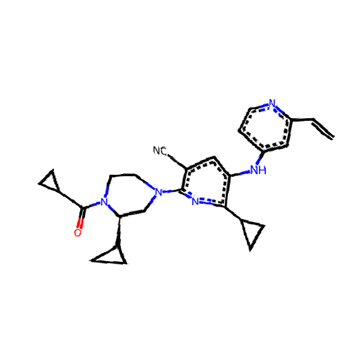 C=Cc1cc(Nc2cc(C#N)c(N3CCN(C(=O)C4CC4)[C@H](C4CC4)C3)nc2C2CC2)ccn1